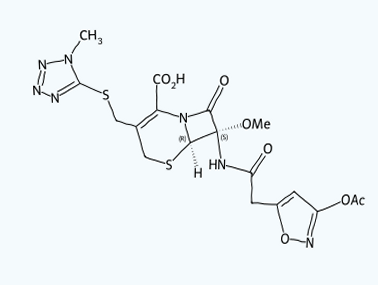 CO[C@@]1(NC(=O)Cc2cc(OC(C)=O)no2)C(=O)N2C(C(=O)O)=C(CSc3nnnn3C)CS[C@@H]21